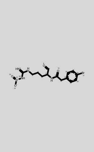 N=C(NCCCC(C=O)NC(=O)Cc1ccc(Br)cc1)N[N+](=O)[O-]